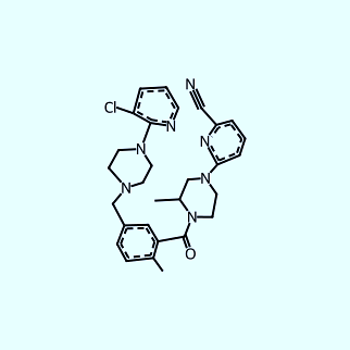 Cc1ccc(CN2CCN(c3ncccc3Cl)CC2)cc1C(=O)N1CCN(c2cccc(C#N)n2)CC1C